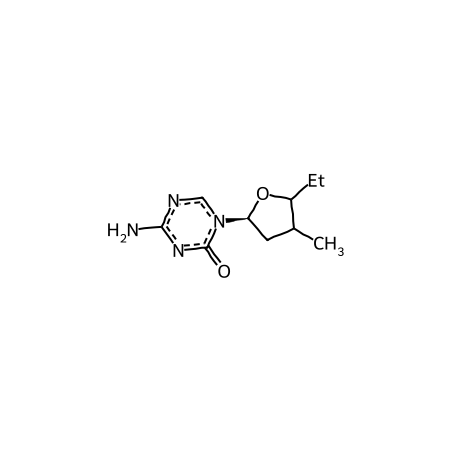 CCC1O[C@H](n2cnc(N)nc2=O)CC1C